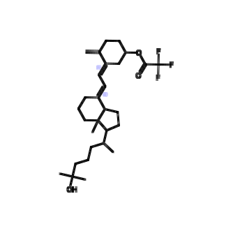 C=C1CCC(OC(=O)C(F)(F)F)C/C1=C\C=C1/CCCC2(C)C1CCC2C(C)CCCC(C)(C)O